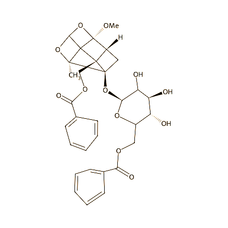 CO[C@@]12OC3O[C@@]4(C)C31[C@]1(COC(=O)c3ccccc3)[C@H]2C[C@]41O[C@@H]1OC(COC(=O)c2ccccc2)[C@@H](O)[C@H](O)C1O